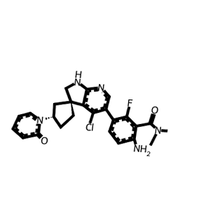 CN(C)C(=O)c1c(N)ccc(-c2cnc3c(c2Cl)[C@@]2(CC[C@H](n4ccccc4=O)C2)CN3)c1F